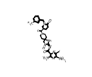 Nc1nc(N)c(C(=O)/N=C2\NCC3(CCN(C(=O)c4ccc(=O)n(Cc5cccc(C(F)(F)F)c5)c4)CC3)N2)nc1I